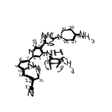 CC(C)Nc1cc(-c2ccc3cc(C#N)cnn23)ncc1-c1nnc(N2CCC(N)CC2)s1